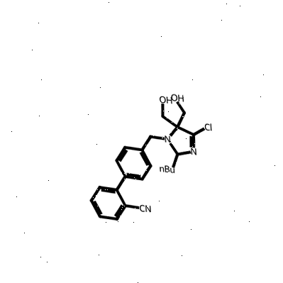 CCCCC1N=C(Cl)C(CO)(CO)N1Cc1ccc(-c2ccccc2C#N)cc1